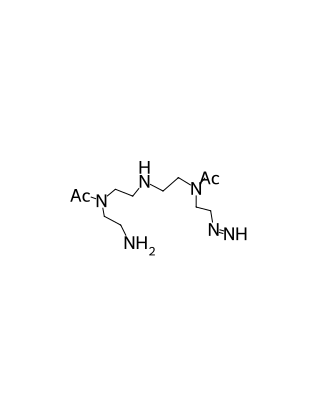 CC(=O)N(CCN)CCNCCN(CCN=N)C(C)=O